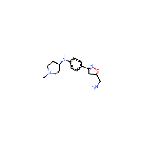 CN1CCC(Nc2ccc(C3=NOC(CN)C3)cc2)CC1